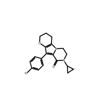 O=C1c2c(-c3ccc(Cl)cc3)c3c(n2CCN1C1CC1)CCCO3